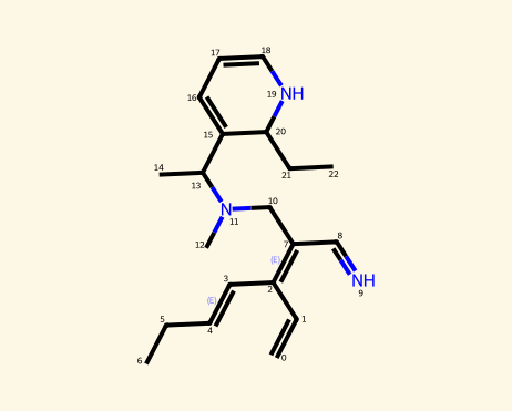 C=CC(/C=C/CC)=C(\C=N)CN(C)C(C)C1=CC=CNC1CC